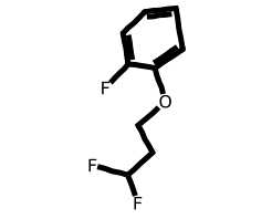 Fc1ccccc1OCCC(F)F